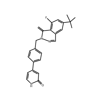 C=C1c2c(F)cc(C(C)(C)C)cc2C=NN1Cc1ccc(-c2cc[nH]c(=O)c2)cc1